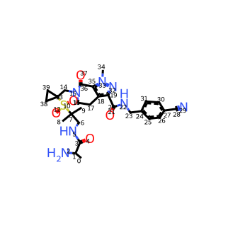 CC(N)C(=O)NCC(C)(C)S(=O)(=O)C1(CN2CCc3c(C(=O)NCc4ccc(C#N)cc4)nn(C)c3C2=O)CC1